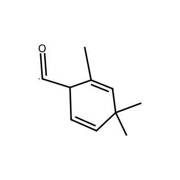 CC1=CC(C)(C)C=CC1[C]=O